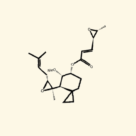 CO[C@@H]1[C@H](OC(=O)/C=C/[C@H]2O[C@@H]2C)CCC2(CC2)[C@H]1[C@@]1(C)O[C@@H]1CC=C(C)C